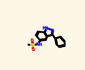 CS(=O)(=O)Nc1ccc2[nH]nc(-c3ccccc3)c2c1